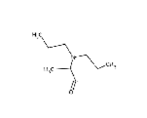 CCCN(CCC)C(C)[C]=O